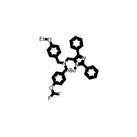 CCCCn1c(-c2ccccc2)nc(-c2ccccc2)c1CN(Cc1ccc(OCC)cc1)Cc1ccc(OC(F)F)cc1